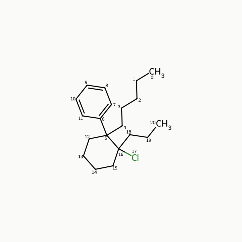 CCCCCC1(c2ccccc2)CCCCC1(Cl)CCC